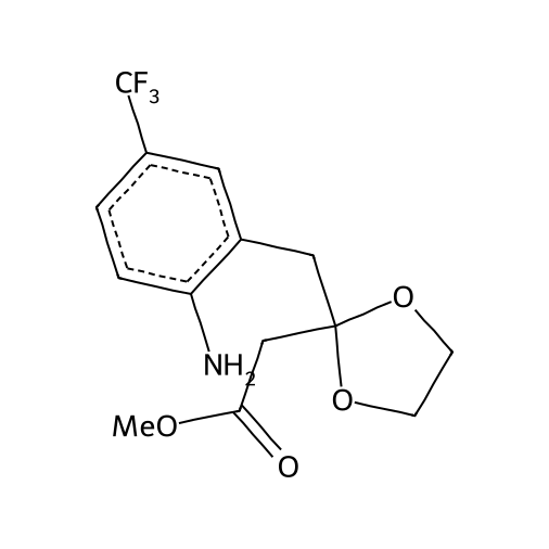 COC(=O)CC1(Cc2cc(C(F)(F)F)ccc2N)OCCO1